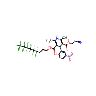 CC1=C(C(=O)OCCC#N)C(c2cccc([N+](=O)[O-])c2)C(C(=O)OCCCC(F)(F)C(F)(F)C(F)(F)C(F)(F)C(F)(F)C(F)(F)F)=C(C)N1